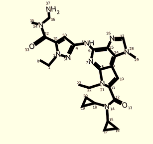 CCn1nc(Nc2nc3c(cc(C(=O)N(C4CC4)C4CC4)n3CC)c3c2ncn3C)cc1C(=O)N(C)CN